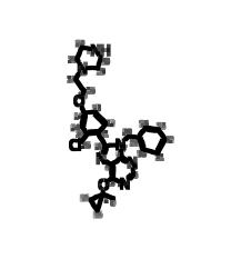 CC1(Oc2ncnc3c2nc(-c2ccc(OCCN4CCNCC4)cc2Cl)n3Cc2ccccc2)CC1